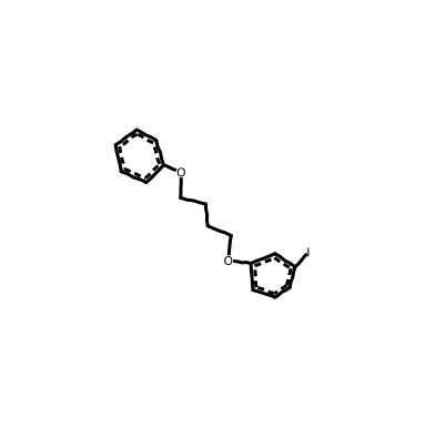 Ic1cccc(OCCCCOc2ccccc2)c1